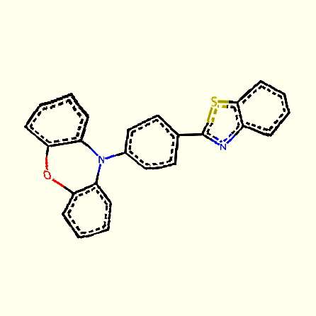 c1ccc2c(c1)Oc1ccccc1N2c1ccc(-c2nc3ccccc3s2)cc1